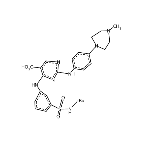 CN1CCN(c2ccc(Nc3ncc(C(=O)O)c(Nc4cccc(S(=O)(=O)NC(C)(C)C)c4)n3)cc2)CC1